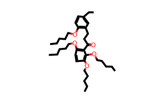 CCCCCOc1ccc(CC)cc1CCC(=O)c1c(OCCCCC)ccc(OCCCCC)c1OCCCCC